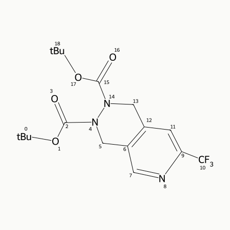 CC(C)(C)OC(=O)N1Cc2cnc(C(F)(F)F)cc2CN1C(=O)OC(C)(C)C